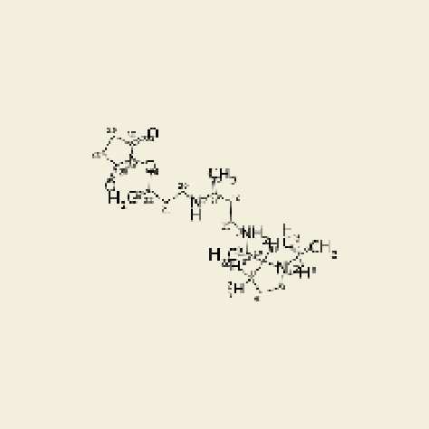 [2H]C(C)(C)N1CCC([2H])([2H])C1([2H])C(=C)NCCC(=C)NCCC(=C)ON1C(=O)CCC1=O